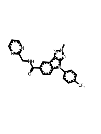 Cn1nc2c3cc(C(=O)NCc4ncccn4)ccc3n(-c3ccc(C(F)(F)F)cc3)c2n1